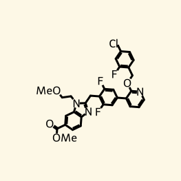 COCCn1c(Cc2c(F)cc(-c3cccnc3OCc3ccc(Cl)cc3F)cc2F)nc2ccc(C(=O)OC)cc21